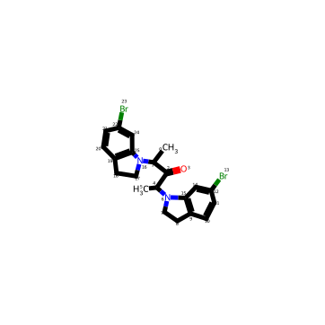 CC(C(=O)C(C)N1CCc2ccc(Br)cc21)N1CCc2ccc(Br)cc21